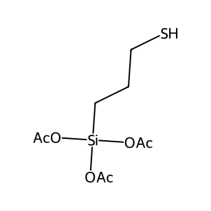 CC(=O)O[Si](CCCS)(OC(C)=O)OC(C)=O